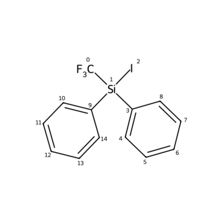 FC(F)(F)[Si](I)(c1ccccc1)c1ccccc1